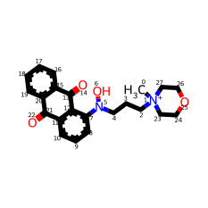 C[N+]1(CCCN(O)c2cccc3c2C(=O)c2ccccc2C3=O)CCOCC1